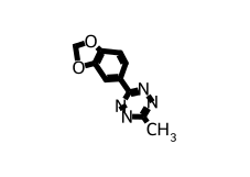 Cc1nnc(-c2ccc3c(c2)OCO3)nn1